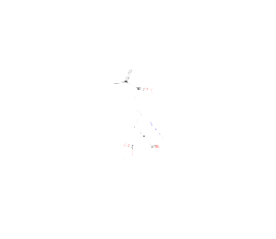 C=C(C)C(=O)OCCC(C(=O)[O-])(C(=O)O)[N+](C)(C)C